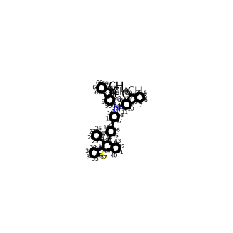 CC1(C)c2ccccc2-c2ccc(N(c3ccc(-c4ccc(-c5c(-c6ccccc6)c6c7ccccc7sc6c6ccccc56)cc4)cc3)c3ccc4c(c3)C(C)(C)c3ccccc3-4)cc21